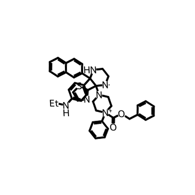 CCNc1ccc(C2(c3ccc4ccccc4c3)NCC[N]C2(c2nccs2)N2CC[N+](C(=O)OCc3ccccc3)(c3ccccc3)CC2)cc1